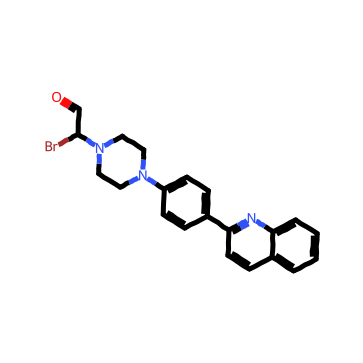 O=CC(Br)N1CCN(c2ccc(-c3ccc4ccccc4n3)cc2)CC1